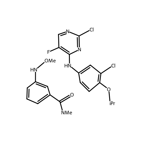 CC(C)Oc1ccc(Nc2nc(Cl)ncc2F)cc1Cl.CNC(=O)c1cccc(NOC)c1